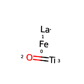 [Fe].[La].[O]=[Ti]